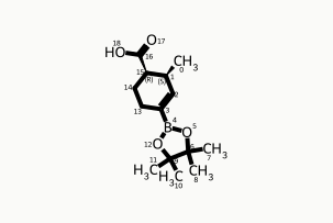 C[C@H]1C=C(B2OC(C)(C)C(C)(C)O2)CC[C@H]1C(=O)O